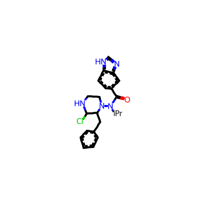 CC(C)N(C(=O)c1ccc2[nH]cnc2c1)N1CCNC(Cl)C1Cc1ccccc1